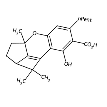 CCCCCc1cc2c(c(O)c1C(=O)O)C1=C3C(CCC3(C)O2)C1(C)C